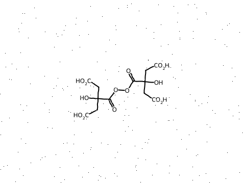 O=C(O)CC(O)(CC(=O)O)C(=O)OOC(=O)C(O)(CC(=O)O)CC(=O)O